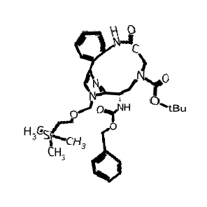 CC(C)(C)OC(=O)N1CCC(=O)Nc2ccccc2-c2cn(COCC[Si](C)(C)C)c(n2)[C@@H](NC(=O)OCc2ccccc2)C1